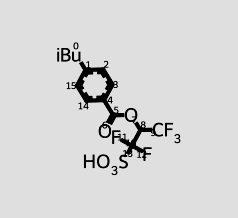 CCC(C)c1ccc(C(=O)OC(C(F)(F)F)C(F)(F)S(=O)(=O)O)cc1